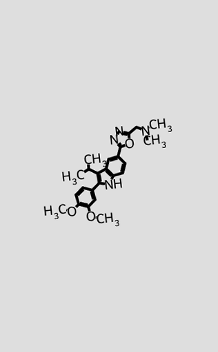 COc1ccc(-c2[nH]c3ccc(-c4nnc(CN(C)C)o4)cc3c2C(C)C)cc1OC